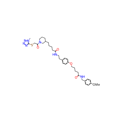 COc1ccc(CNC(=O)CCCCOc2ccc(CCNC(=O)CCCCC3CCCN(C(=O)CSc4nnnn4C)C3)cc2)cc1